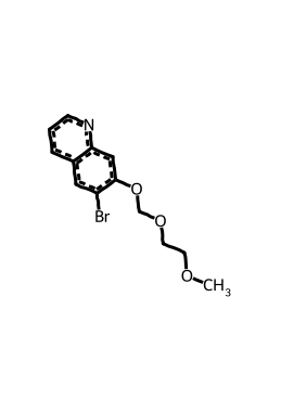 COCCOCOc1cc2ncccc2cc1Br